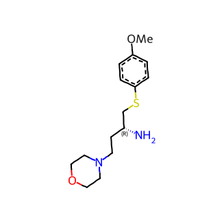 COc1ccc(SC[C@H](N)CCN2CCOCC2)cc1